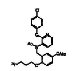 COc1ccc(OCCC[18F])c(CN(C(C)=O)c2cccnc2Oc2ccc(Cl)cc2)c1